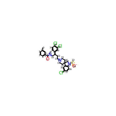 Cc1cccc(C(=O)N(C)CC(CCN2CCC3(CC2)CN([S+](C)[O-])c2ccc(Cl)cc23)c2ccc(Cl)c(Cl)c2)c1